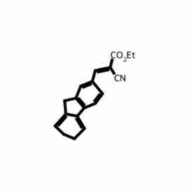 CCOC(=O)/C(C#N)=C/c1ccc2c(c1)CC1=CCCC=C12